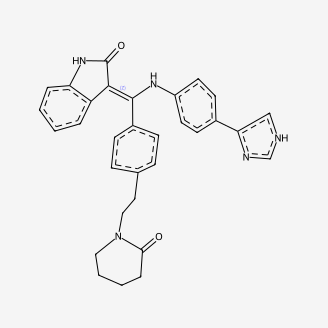 O=C1Nc2ccccc2/C1=C(/Nc1ccc(-c2c[nH]cn2)cc1)c1ccc(CCN2CCCCC2=O)cc1